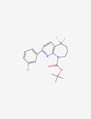 CC(C)(C)OC(=O)N1CCCC(F)(F)c2ccc(-c3cccc(Cl)c3)nc21